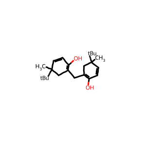 CC(C)(C)C1(C)C=CC(O)=C(CC2=C(O)C=CC(C)(C(C)(C)C)C2)C1